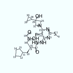 CSc1nc(NNC(=O)[C@@H](CC2CCCC2)CN(O)C=O)c(F)c(N2CC(O)(C3CC3)C2)n1